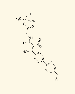 CC(C)(C)OC(=O)CNC(=O)c1c(O)c2ccc(-c3ccc(CO)cc3)cc2oc1=O